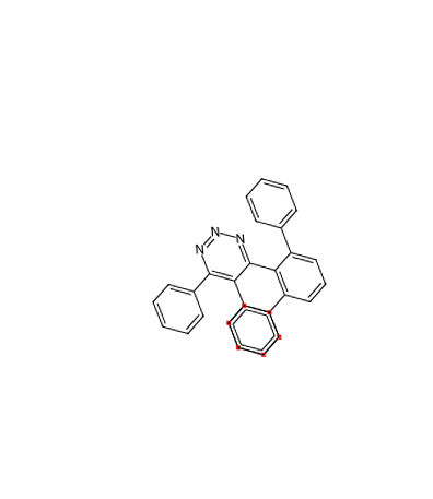 c1ccc(-c2cccc(-c3ccccc3)c2-c2nnnc(-c3ccccc3)c2-c2ccccc2)cc1